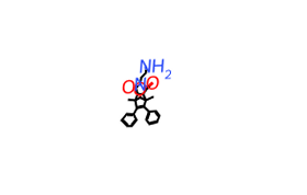 CC12C(=O)C(C)(C(c3ccccc3)=C1c1ccccc1)C1C(=O)N(CCN)C(=O)C12